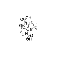 O=C(O)N1CCCC2(C1)C(=O)N(C(=O)O)c1ccc(F)cc12